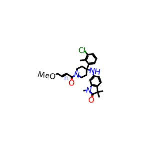 COC/C=C/C(=O)N1CCC(Nc2ccc3c(c2)N(C)C(=O)C3(C)C)(c2cccc(Cl)c2C)CC1